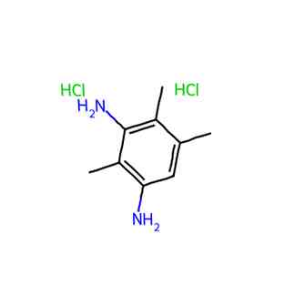 Cc1cc(N)c(C)c(N)c1C.Cl.Cl